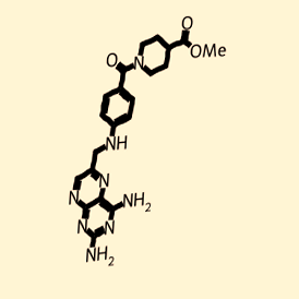 COC(=O)C1CCN(C(=O)c2ccc(NCc3cnc4nc(N)nc(N)c4n3)cc2)CC1